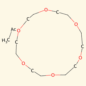 C1COCCOCCOCCOCCOCCO1.CC(C)=O